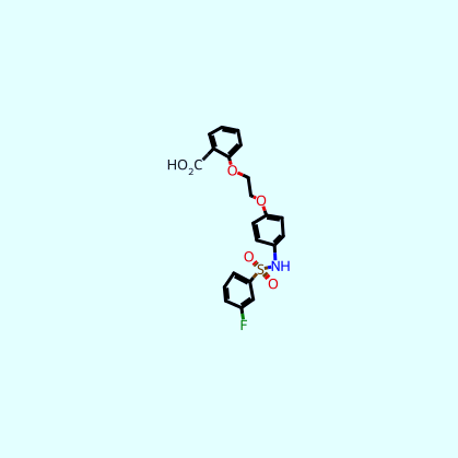 O=C(O)c1ccccc1OCCOc1ccc(NS(=O)(=O)c2cccc(F)c2)cc1